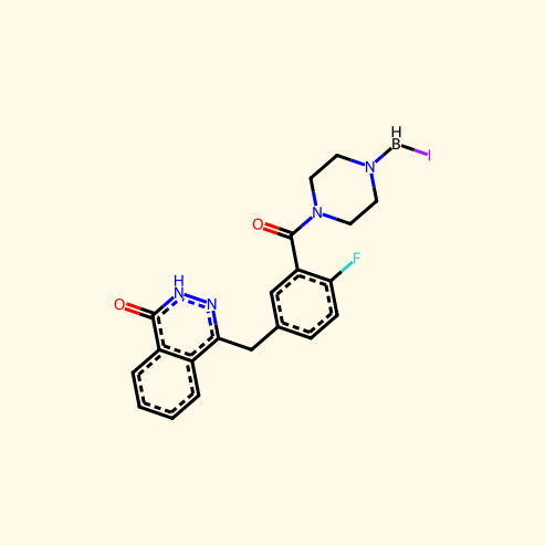 O=C(c1cc(Cc2n[nH]c(=O)c3ccccc23)ccc1F)N1CCN(BI)CC1